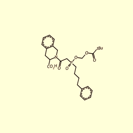 CC(C)(C)C(=O)OCOP(=O)(CCCCc1ccccc1)CC(=O)N1Cc2ccccc2CC1C(=O)O